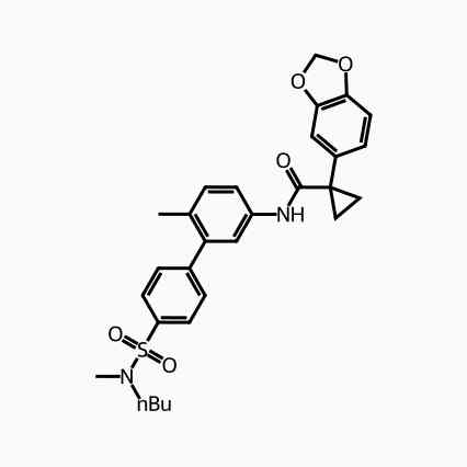 CCCCN(C)S(=O)(=O)c1ccc(-c2cc(NC(=O)C3(c4ccc5c(c4)OCO5)CC3)ccc2C)cc1